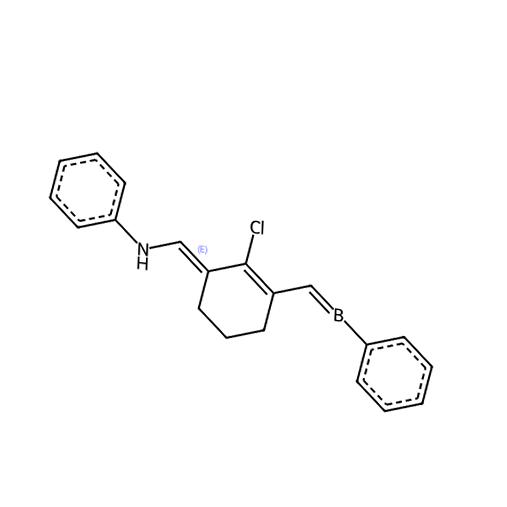 ClC1=C(C=Bc2ccccc2)CCC/C1=C\Nc1ccccc1